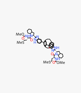 COC(=O)N[C@@H](CCSC)C(=O)N1C2CCCCC2C[C@H]1c1nc2cc(-c3cc4c(-c5ccc6[nH]c([C@@H]7CC8CCCCC8N7C(=O)[C@H](CCSC)NC(=O)OC)nc6c5)cc3CCc3ccc(cc3)CC4)ccc2[nH]1